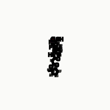 CC1(OC(=O)CC(=O)NS(=O)(=O)C(F)(F)C(F)(F)C(F)(F)S(=O)(=O)O)CCCC1